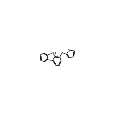 c1csc(Cc2cccc3c2[nH]c2ccccc23)c1